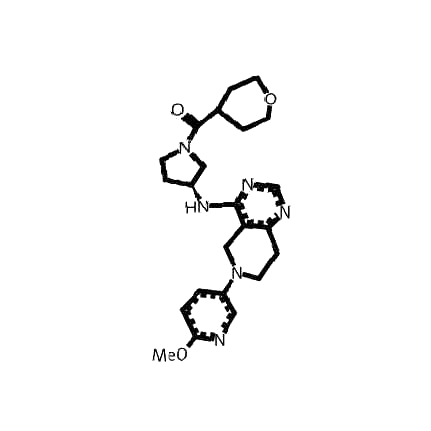 COc1ccc(N2CCc3ncnc(N[C@H]4CCN(C(=O)C5CCOCC5)C4)c3C2)cn1